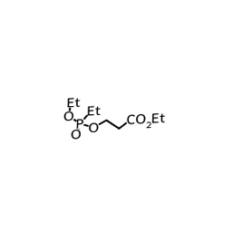 CCOC(=O)CCOP(=O)(CC)OCC